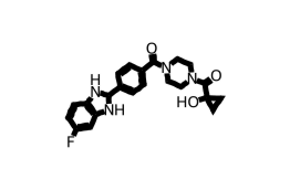 O=C(c1ccc(C2Nc3ccc(F)cc3N2)cc1)N1CCN(C(=O)C2(O)CC2)CC1